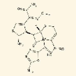 CON=C(C(N)=O)C1=CSC(N)N1[C@@H]1C(=O)[N+]2(C(=S)c3nnc(N)s3)C(C(=O)O)=CCS[C@@H]12